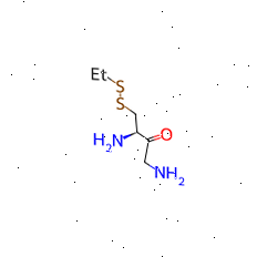 CCSSC[C@H](N)C(=O)CN